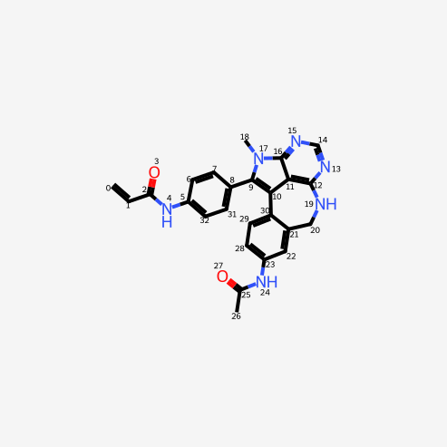 C=CC(=O)Nc1ccc(-c2c3c4c(ncnc4n2C)NCc2cc(NC(C)=O)ccc2-3)cc1